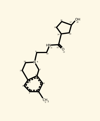 Cc1ccc2c(c1)CN(CCNC(=O)C1CCC(O)C1)CC2